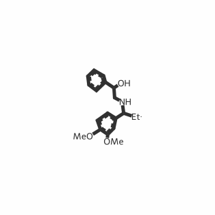 C[CH]C(NCC(O)c1ccccc1)c1ccc(OC)c(OC)c1